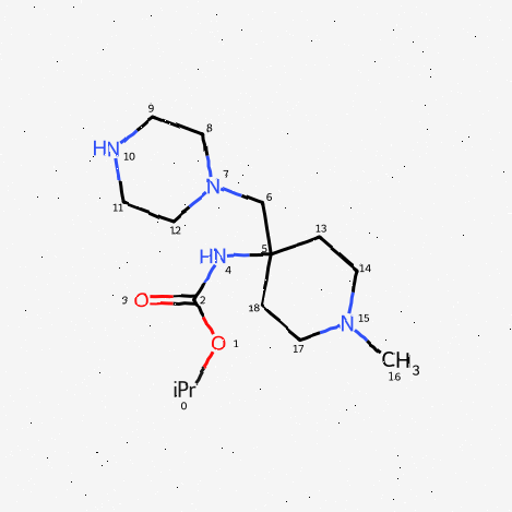 CC(C)OC(=O)NC1(CN2CCNCC2)CCN(C)CC1